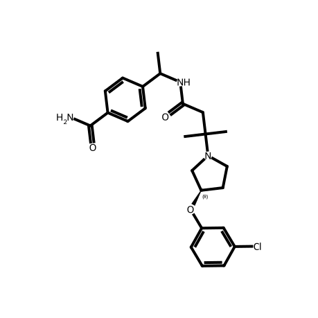 CC(NC(=O)CC(C)(C)N1CC[C@@H](Oc2cccc(Cl)c2)C1)c1ccc(C(N)=O)cc1